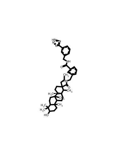 CCCC1(C(=O)NCc2cccc(C(=O)NCc3cccc(-c4nn[nH]n4)c3)c2)CC[C@]2(C)C(CCC3C4(C)CCC(O)C(C)(C)C4CCC32C)C1C